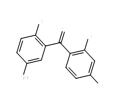 Nc1ccc(Cl)c(C(=O)c2ccc(Cl)cc2Cl)c1